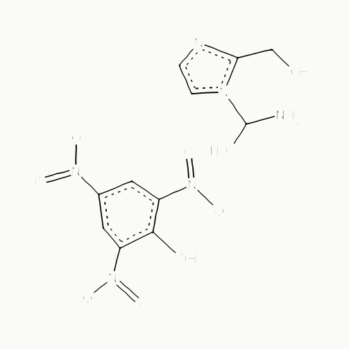 CCc1nccn1C(C)N.O=[N+]([O-])c1cc([N+](=O)[O-])c(O)c([N+](=O)[O-])c1